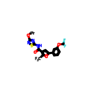 CC(C)Oc1nsc(NC(=O)c2cc(-c3cccc(OC(F)F)c3)oc2C(F)(F)F)n1